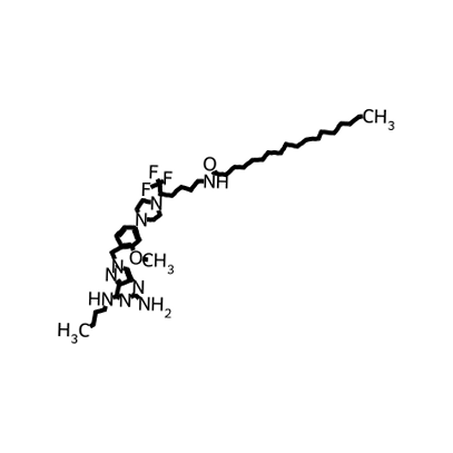 CCCCCCCCCCCCCCCCCC(=O)NCCCCC(N1CCN(c2ccc(Cn3cc4nc(N)nc(NCCCC)c4n3)c(OC)c2)CC1)C(F)(F)F